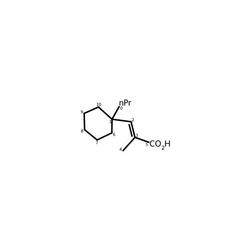 CCCC1(C=C(C)C(=O)O)CCCCC1